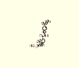 CC(C)(C)OC(=O)N1CCC2(CC1)CC(NC(=O)[C@@H]1CC[C@@H]3CN1C(=O)N3OS(=O)(=O)O)C2